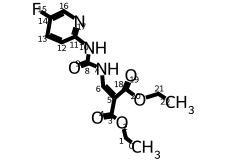 CCOC(=O)C(=CNC(=O)Nc1ccc(F)cn1)C(=O)OCC